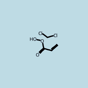 C=CC(=O)OO.ClCCl